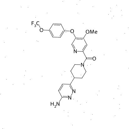 COc1cc(C(=O)N2CCC(c3ccc(N)nn3)CC2)ncc1Oc1ccc(OC(F)(F)F)cc1